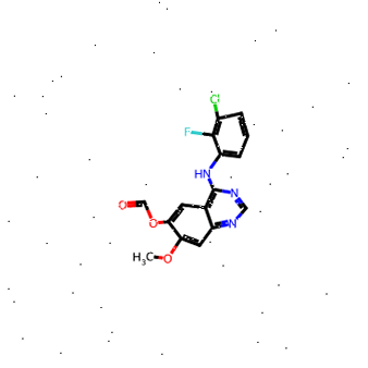 COc1cc2ncnc(Nc3cccc(Cl)c3F)c2cc1OC=O